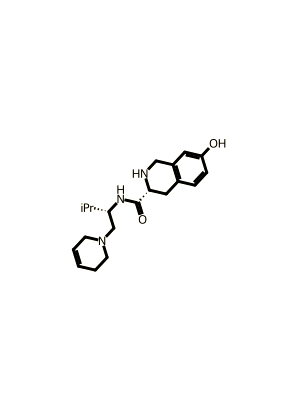 CC(C)[C@@H](CN1CC=CCC1)NC(=O)[C@H]1Cc2ccc(O)cc2CN1